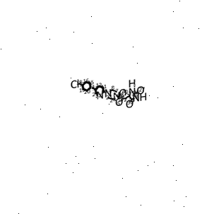 C[C@]1(CS(=O)(=O)N2CCN(c3ccc(-c4ccc(Cl)cc4)cn3)CC2)NC(=O)NC1=O